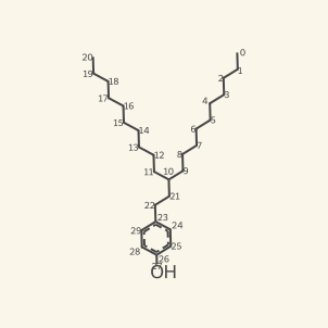 CCCCCCCCCCC(CCCCCCCCCC)CCc1ccc(O)cc1